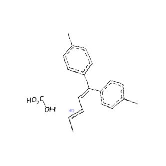 C/C=C/C=C(c1ccc(C)cc1)c1ccc(C)cc1.O=C(O)O